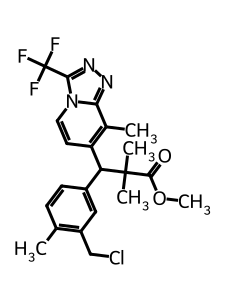 COC(=O)C(C)(C)C(c1ccc(C)c(CCl)c1)c1ccn2c(C(F)(F)F)nnc2c1C